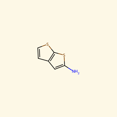 Nc1cc2ccsc2s1